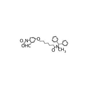 CN(C(=O)CCCCCCOc1ccc([N+](=O)[O-])c(C=O)c1)C(c1ccccc1)c1ccccc1